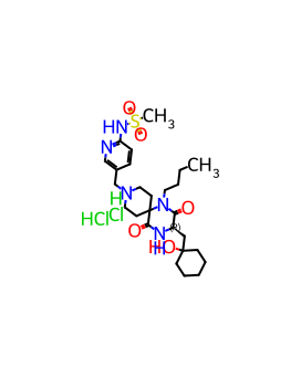 CCCCN1C(=O)[C@@H](CC2(O)CCCCC2)NC(=O)C12CCN(Cc1ccc(NS(C)(=O)=O)nc1)CC2.Cl.Cl